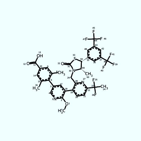 COc1ncc(-c2c(C)cc(C(=O)O)cc2C)cc1-c1ccc(C(C)(F)F)nc1CN1C(=O)S[C@H](c2cc(C(F)(F)F)cc(C(F)(F)F)c2)[C@@H]1C